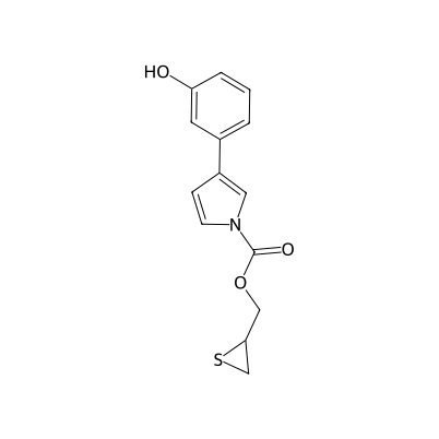 O=C(OCC1CS1)n1ccc(-c2cccc(O)c2)c1